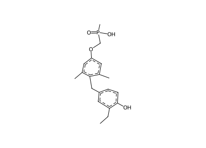 CCc1cc(Cc2c(C)cc(OCP(C)(=O)O)cc2C)ccc1O